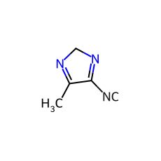 [C-]#[N+]C1=NCN=C1C